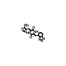 CC(C)(C)c1ocnc1/C=c1\[nH]c(=O)/c(=C/c2cccc3nsnc23)[nH]c1=O